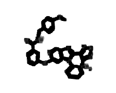 COc1ccc(CNC(=O)c2cccc(Oc3cc4c(cn3)nc(-c3nonc3N)n4-c3ccccc3)c2)cc1